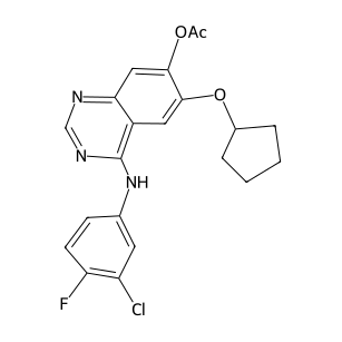 CC(=O)Oc1cc2ncnc(Nc3ccc(F)c(Cl)c3)c2cc1OC1CCCC1